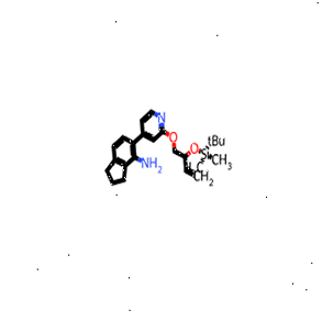 C=CC(COc1cc(-c2ccc3c(c2N)CCC3)ccn1)O[Si](C)(C)C(C)(C)C